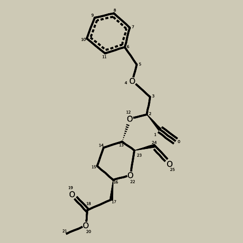 C#C[C@H](COCc1ccccc1)O[C@H]1CC[C@H](CC(=O)OC)O[C@@H]1C=O